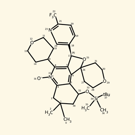 CC1(C)Cc2c(c3c(c(C4CCOCC4)[n+]2[O-])[C@@H](c2ccc(C(F)(F)F)nc2)OC32CCOCC2)C(O[Si](C)(C)C(C)(C)C)C1